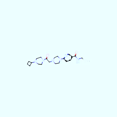 CC(C)(C)CNC(=O)c1ccc(N2CCN(CC(=O)N3CCN(C4CCC4)CC3)CC2)nc1